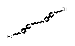 C#CCCCC[n+]1ccc(-c2cc[n+](CCCCCCCC[n+]3ccc(-c4cc[n+](CCCCC#C)cc4)cc3)cc2)cc1